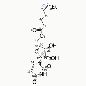 CC/C=C\CCCC(=O)OC[C@H]1O[C@@H](n2ccc(=O)[nH]c2=O)[C@H](O)[C@@H]1O